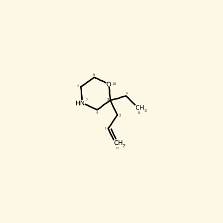 C=CCC1(CC)CNCCO1